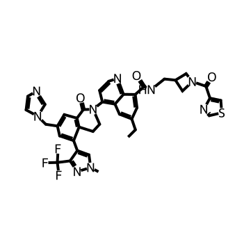 CCc1cc(C(=O)NCC2CN(C(=O)c3cscn3)C2)c2nccc(N3CCc4c(cc(Cn5ccnc5)cc4-c4cn(C)nc4C(F)(F)F)C3=O)c2c1